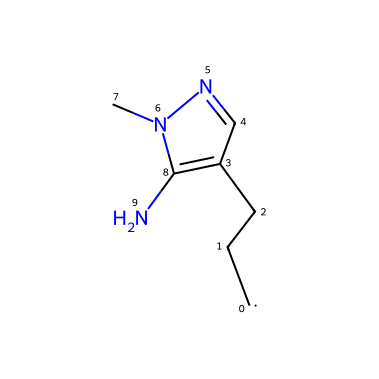 [CH2]CCc1cnn(C)c1N